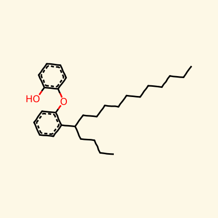 CCCCCCCCCCCC(CCCC)c1ccccc1Oc1ccccc1O